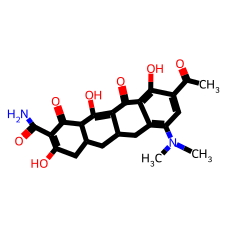 CC(=O)c1cc(N(C)C)c2c(c1O)C(=O)C1=C(O)C3C(=O)C(C(N)=O)=C(O)CC3CC1C2